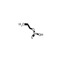 C=CC[O][Sn]([OH])=[S]